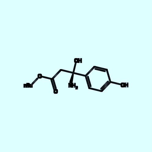 CCCCOC(=O)C[C@](N)(O)c1ccc(O)cc1